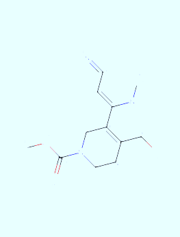 CC(C)N/C(=C\C=N)C1=C(CO)CCN(C(=O)OC(C)(C)C)C1